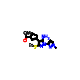 CCSc1nn(-c2ccn(C)n2)c(N)c1C1=CC(C(=O)OC)CC1